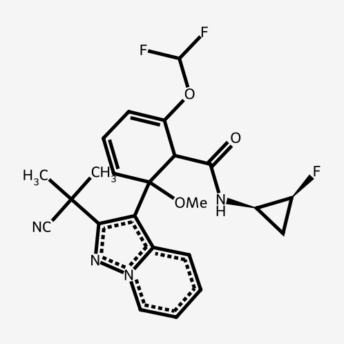 COC1(c2c(C(C)(C)C#N)nn3ccccc23)C=CC=C(OC(F)F)C1C(=O)N[C@@H]1C[C@@H]1F